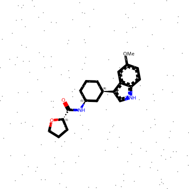 COc1ccc2[nH]cc([C@@H]3CCC[C@H](NC(=O)[C@@H]4CCCO4)C3)c2c1